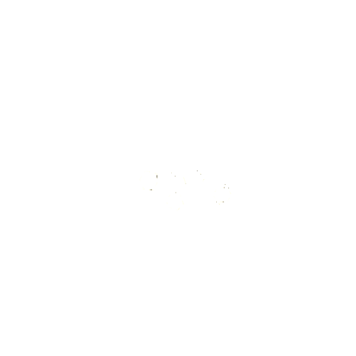 CC(C)c1ccc([C@@H](NC(=O)[C@@H]2C[C@@H](F)CN2C(=O)Cc2cnccn2)c2ccccc2)cc1F